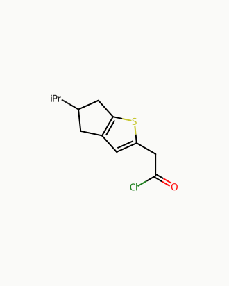 CC(C)C1Cc2cc(CC(=O)Cl)sc2C1